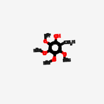 CCCCOc1c(OCCC)c(O)c(C(=O)O)c(OCCCC)c1OCCCC